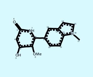 COc1c(O)cc(=O)[nH]c1-c1ccc2c(ccn2C)c1